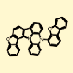 c1ccc2c(c1)N(c1cccc3c1oc1ccccc13)c1cccc3c4ccc5oc6ccccc6c5c4n-2c13